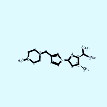 CNC(C(=O)O)[C@@H]1OC([SH]2C=CC(CN3CCN(C)CC3)=C2)C[C@H]1C